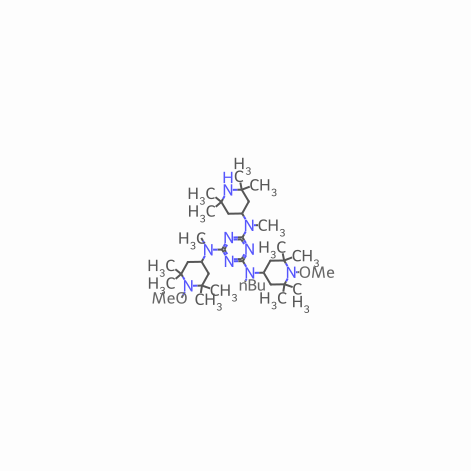 CCCCN(c1nc(N(C)C2CC(C)(C)NC(C)(C)C2)nc(N(C)C2CC(C)(C)N(OC)C(C)(C)C2)n1)C1CC(C)(C)N(OC)C(C)(C)C1